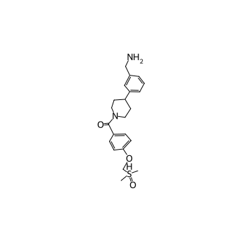 C[SH](C)(=O)COc1ccc(C(=O)N2CCC(c3cccc(CN)c3)CC2)cc1